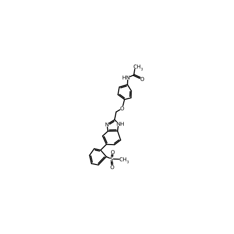 CC(=O)Nc1ccc(OCc2nc3cc(-c4ccccc4S(C)(=O)=O)ccc3[nH]2)cc1